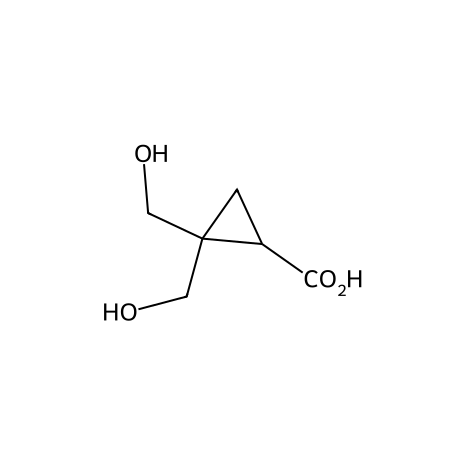 O=C(O)C1CC1(CO)CO